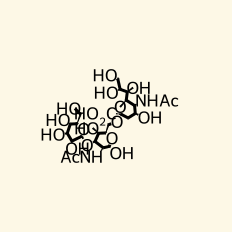 CC(=O)N[C@@H]1[C@@H](O[C@@H]2O[C@H](CO)[C@H](O)[C@H](O)[C@H]2O)[C@@H](O)[C@@H](CO[C@]2(C(=O)O)C[C@H](O)[C@@H](NC(C)=O)[C@H]([C@H](O)[C@H](O)CO)O2)O[C@@H]1O